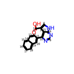 O=C(O)c1c[nH]c2ncnc(-c3ccc4ccccc4c3)c12